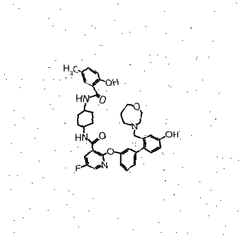 Cc1ccc(O)c(C(=O)NC2CCC(NC(=O)c3cc(F)cnc3Oc3cccc(-c4ccc(O)cc4CN4CCCOCC4)c3)CC2)c1